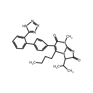 CCCCC1=C(c2ccc(-c3ccccc3-c3nnn[nH]3)cc2)C(=O)N(C)C2=NC(=O)C(C(C)C)N21